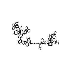 CC[C@H](C(=O)N1CCCC[C@H]1C(=O)O[C@H](CCc1ccc(OC)c(OC)c1)c1cccc(OCC(=O)NCCCCCCNC(=O)COc2cccc3c2C(=O)N(C2CCC(=O)NC2=O)C3O)c1)c1cc(OC)c(OC)c(OC)c1